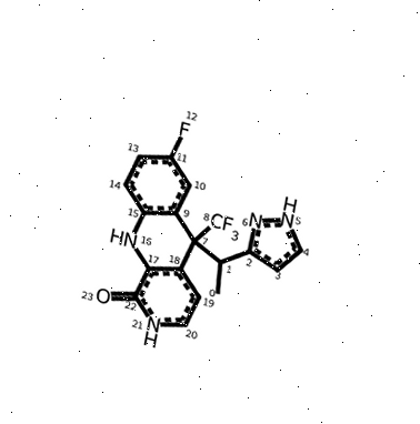 CC(c1cc[nH]n1)C1(C(F)(F)F)c2cc(F)ccc2Nc2c1cc[nH]c2=O